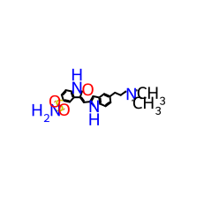 CCN(CC)CCCc1ccc2[nH]c(C=C3C(=O)Nc4ccc(S(N)(=O)=O)cc43)cc2c1